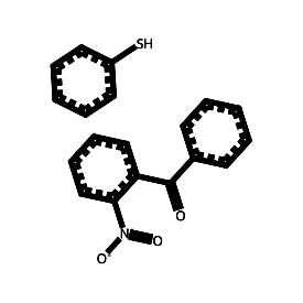 O=C(c1ccccc1)c1ccccc1[N+](=O)[O-].Sc1ccccc1